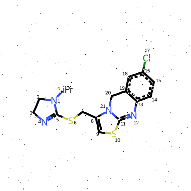 CC(C)N1CCN=C1SCC1=CSC2=Nc3ccc(Cl)cc3CN12